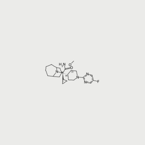 CO[C@@H]1CN(c2ncc(F)cn2)CC[C@@H]1C1CC2CCCCC(C1)N2[C@@H](C(N)=O)C1CC1